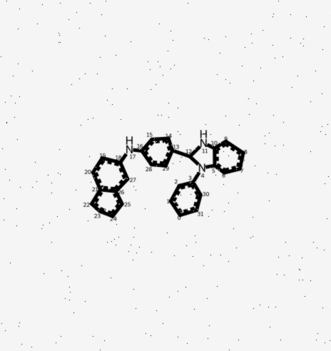 c1ccc(N2c3ccccc3NC2c2ccc(Nc3ccc4ccccc4c3)cc2)cc1